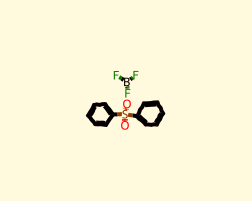 FB(F)F.O=S(=O)(c1ccccc1)c1ccccc1